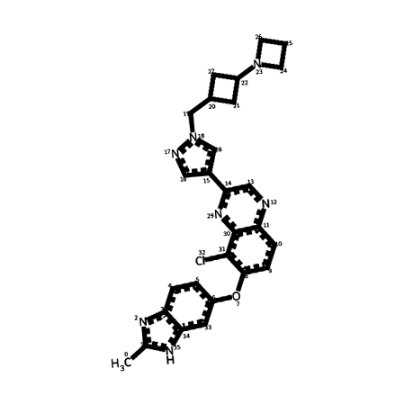 Cc1nc2ccc(Oc3ccc4ncc(-c5cnn(CC6CC(N7CCC7)C6)c5)nc4c3Cl)cc2[nH]1